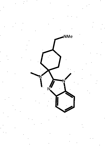 CNCC1CCC(c2nc3ccccc3n2C)(N(C)C)CC1